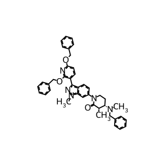 C[C@H]1C(=O)N(c2ccc3c(-c4ccc(OCc5ccccc5)nc4OCc4ccccc4)nn(C)c3c2)CC[C@@H]1N(C)Cc1ccccc1